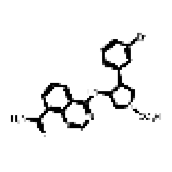 NC(=O)c1cccc2c(NC3CN(C(=O)O)CC3c3cccc(Br)c3)ncnc12